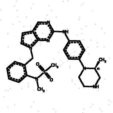 C[C@H]1CNCCN1c1ccc(Nc2ncc3ccn(Cc4ccccc4N(C)S(C)(=O)=O)c3n2)cc1